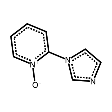 [O-][n+]1ccccc1-n1ccnc1